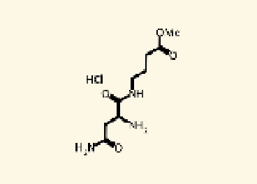 COC(=O)CCCNC(=O)C(N)CC(N)=O.Cl